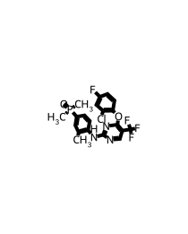 Cc1cc(P(C)(C)=O)ccc1Nc1ncc(C(F)(F)F)c(Oc2ccc(F)cc2Cl)n1